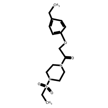 CCc1ccc(OCC(=O)N2CCN(S(=O)(=O)CC)CC2)cc1